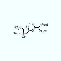 CCCCCCC(CCCCC)C(CCCC)OC(=O)CC(O)(CC(=O)O)C(=O)O